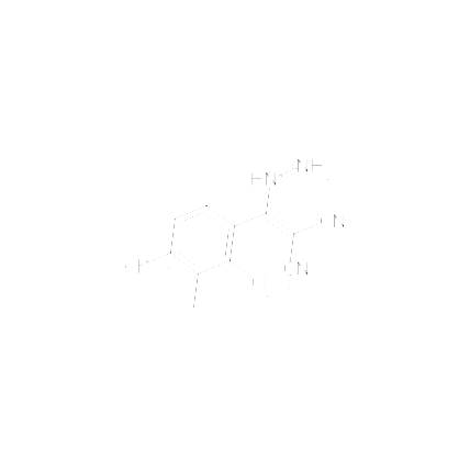 Cc1c(Cl)ccc(C(NN)=C(C#N)C#N)c1Cl